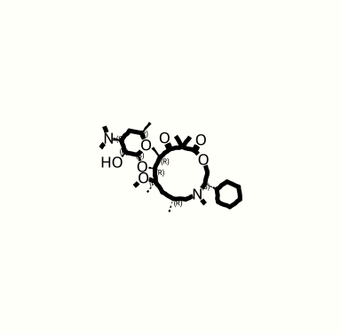 CO[C@]1(C)C[C@@H](C)CN(C)[C@@H](C2CCCCC2)COC(=O)C(C)(C)C(=O)[C@H](C)[C@H]1O[C@@H]1O[C@H](C)C[C@H](N(C)C)[C@H]1O